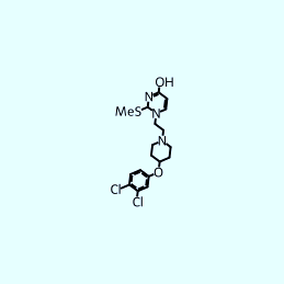 CSC1N=C(O)C=CN1CCN1CCC(Oc2ccc(Cl)c(Cl)c2)CC1